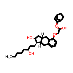 CCCCC[C@@H](O)CC[C@@H]1[C@H]2Cc3cccc(OCC(O)OC4CC5CCC4C5)c3C[C@H]2C[C@H]1O